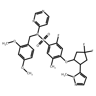 COc1ccc(CN(c2ccncn2)S(=O)(=O)c2cc(C)c(OC3CC(F)(F)CC3c3ccnn3C)cc2F)c(OC)c1